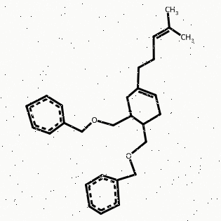 CC(C)=CCCC1=CCC(COCc2ccccc2)C(COCc2ccccc2)C1